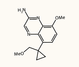 COCC1(c2ccc(OC)c3nc(N)cnc23)CC1